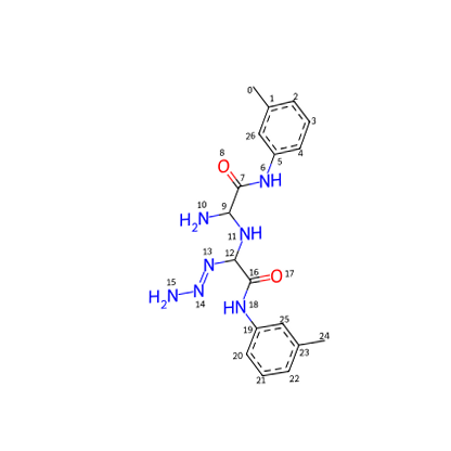 Cc1cccc(NC(=O)C(N)NC(N=NN)C(=O)Nc2cccc(C)c2)c1